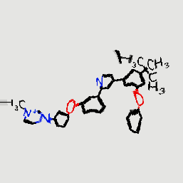 C[n+]1ccn(-c2cccc(Oc3cccc(-c4cc(-c5cc(Oc6ccccc6)cc(C(C)(C)C)c5)ccn4)c3)c2)c1